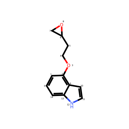 c1cc(OCCC2CO2)c2cc[nH]c2c1